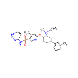 Cc1cc(O[C@H]2CC[C@H](c3cccc(C(F)(F)F)c3)C[C@@H]2N(C)C)ncc1S(=O)(=O)Nc1ccncn1